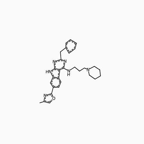 Cc1coc(-c2ccc3c(c2)[nH]c2nc(Cc4ccccc4)nc(NCCCN4CCCCC4)c23)n1